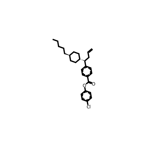 C=CCC(c1ccc(C(=O)Oc2ccc(Cl)cc2)cc1)[C@H]1CC[C@H](CCCCC)CC1